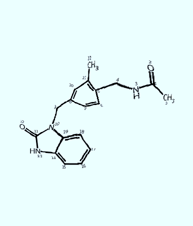 CC(=O)NCc1ccc(Cn2c(=O)[nH]c3ccccc32)cc1C